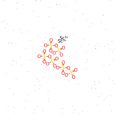 O=S(=O)([O-])OS(=O)(=O)[O-].O=S(=O)([O-])OS(=O)(=O)[O-].O=S(=O)([O-])OS(=O)(=O)[O-].[Sc+3].[Sc+3]